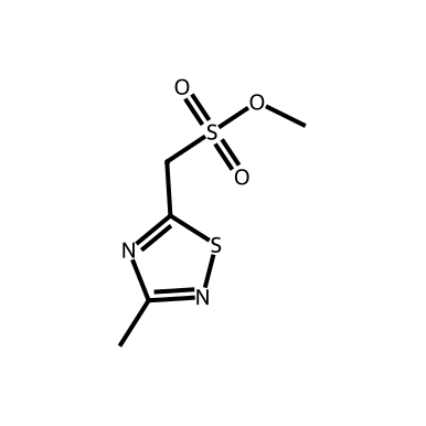 COS(=O)(=O)Cc1nc(C)ns1